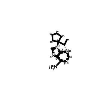 CCC1(n2cnc3c(N)ncnc32)CCCC1